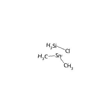 [CH3][Sn][CH3].[SiH3]Cl